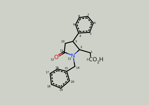 O=C(O)CC1C(c2ccccc2)CC(=O)N1Cc1ccccc1